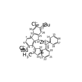 CC1=C(c2c(C(C)(C)C)ccc3c2[CH]([Zr+2]=[C](c2ccccc2)c2ccccc2)c2cc(C(C)(C)C)ccc2-3)CC=C1.[Cl-].[Cl-]